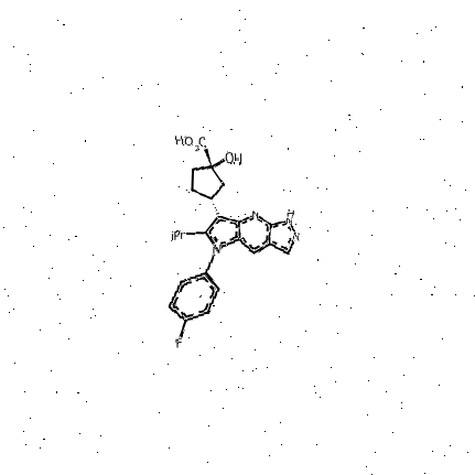 CC(C)c1c([C@@H]2CC[C@@](O)(C(=O)O)C2)c2nc3[nH]ncc3cc2n1-c1ccc(F)cc1